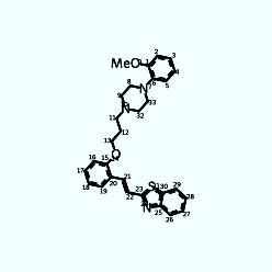 COc1ccccc1N1CCN(CCCOc2ccccc2/C=C/c2nc3ccccc3s2)CC1